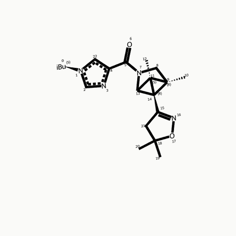 CC[C@H](C)n1cnc(C(=O)N2C[C@]3(C)[C@]4(C)C2[C@@]34C2=NOC(C)(C)C2)c1